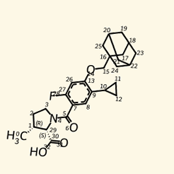 C[C@@H]1CCN(C(=O)c2cc(C3CC3)c(OCC34CC5CC(CC(C5)C3)C4)cc2F)[C@@H]1C(=O)O